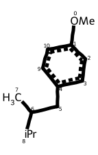 COc1ccc(CC(C)C(C)C)cc1